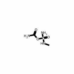 CNP(N)(=O)OC(N)=O